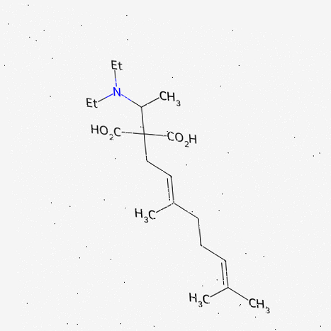 CCN(CC)C(C)C(C/C=C(\C)CCC=C(C)C)(C(=O)O)C(=O)O